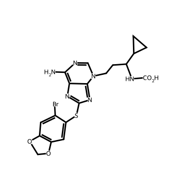 Nc1ncn(CCC(NC(=O)O)C2CC2)c2nc(Sc3cc4c(cc3Br)OCO4)nc1-2